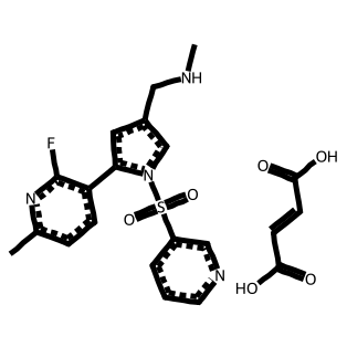 CNCc1cc(-c2ccc(C)nc2F)n(S(=O)(=O)c2cccnc2)c1.O=C(O)/C=C/C(=O)O